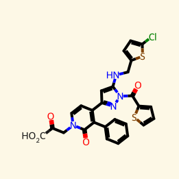 O=C(O)C(=O)Cn1ccc(-c2cc(NCc3ccc(Cl)s3)n(C(=O)c3cccs3)n2)c(-c2ccccc2)c1=O